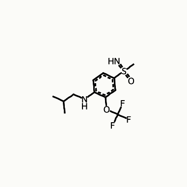 CC(C)CNc1ccc(S(C)(=N)=O)cc1OC(F)(F)F